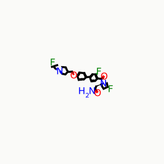 CC(C)(F)CN1CCC(COc2ccc(-c3ccc(C(=O)N4C[C@@H](F)C[C@H]4CC(N)=O)c(F)c3)cc2)CC1